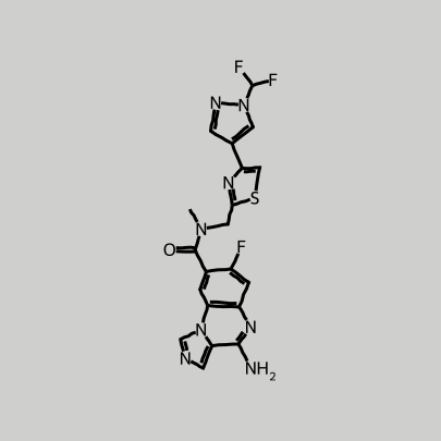 CN(Cc1nc(-c2cnn(C(F)F)c2)cs1)C(=O)c1cc2c(cc1F)nc(N)c1cncn12